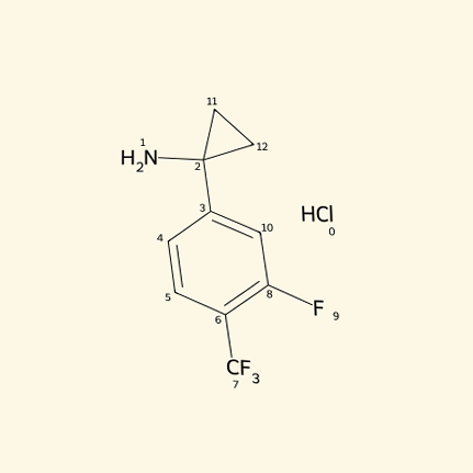 Cl.NC1(c2ccc(C(F)(F)F)c(F)c2)CC1